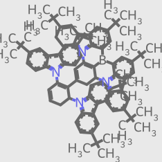 CC(C)(C)C1=Cc2c(n3c4c(cc(C(C)(C)C)cc24)B2C4=C3C=C(C3=C(n5c6ccc(C(C)(C)C)cc6c6cc(C(C)(C)C)ccc65)C=CCC3n3c5ccc(C(C)(C)C)cc5c5cc(C(C)(C)C)ccc53)CC4n3c4ccc(C(C)(C)C)cc4c4cc(C(C)(C)C)cc2c43)CC1